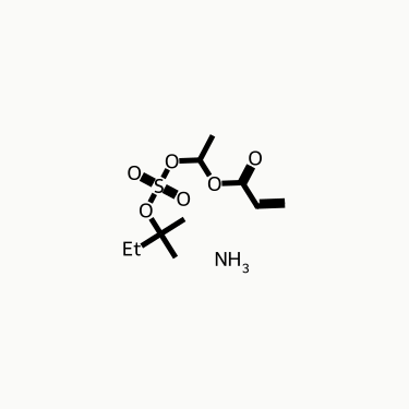 C=CC(=O)OC(C)OS(=O)(=O)OC(C)(C)CC.N